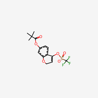 CC(C)(C)C(=O)Oc1ccc2c(c1)OCC=C2OS(=O)(=O)C(F)(F)F